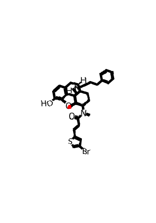 CN(C(=O)/C=C/c1cc(Br)cs1)C1CC[C@@]2(O)[C@H]3Cc4ccc(O)c5c4[C@@]2(CCN3CCc2ccccc2)C1(C)O5